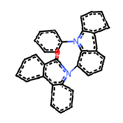 O=c1c2ccccc2c2ccccc2n1-c1cccc2c3ccccc3n(-c3ccccc3)c12